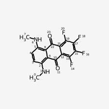 CNc1ccc(NC)c2c1C(=O)c1c(F)c(F)c(F)c(F)c1C2=O